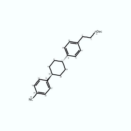 CCCCCCCCCCCCc1ccc([C@H]2CC[C@H](c3ccc(C#N)cc3)CC2)cc1